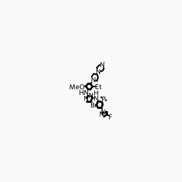 C=P(C)(C)c1cc(-n2cc(F)cn2)ccc1Nc1nc(Nc2cc(CC)c(N3CCC(N4CCN(C)CC4)CC3)cc2OC)ncc1Br